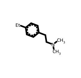 CCc1ccc(CCN(C)C)cc1